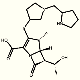 C[C@@H](O)[C@H]1C(=O)N2C(C(=O)O)=C(SC3CCN(CC4CCCN4)C3)[C@H](C)[C@H]12